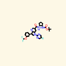 CC(C)(C)OC(=O)N[C@@H]1CCC[C@@H]1NC(=O)c1cnc2c(-c3cccc(OC(F)F)c3)cn(-c3ncc(F)cn3)c2c1